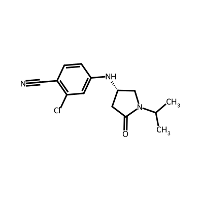 CC(C)N1C[C@@H](Nc2ccc(C#N)c(Cl)c2)CC1=O